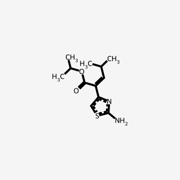 CC(C)C=C(C(=O)OC(C)C)c1csc(N)n1